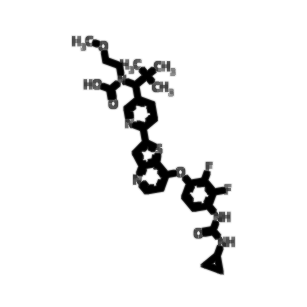 COCCN(C(=O)O)C(c1ccc(-c2cc3nccc(Oc4ccc(NC(=O)NC5CC5)c(F)c4F)c3s2)nc1)C(C)(C)C